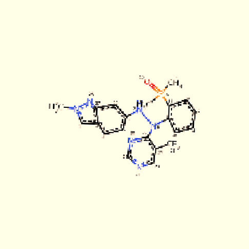 Cn1cc2ccc(NN(c3ccccc3P(C)(C)=O)c3ncncc3C(F)(F)F)cc2n1